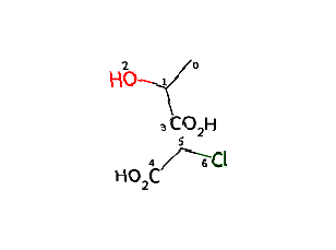 CC(O)C(=O)O.O=C(O)CCl